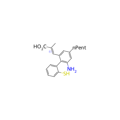 CCCCCc1cc(N)c(-c2ccccc2S)c(/C=C(\C)C(=O)O)c1